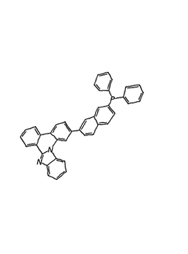 c1ccc(P(c2ccccc2)c2ccc3ccc(-c4ccc5c6ccccc6c6nc7ccccc7n6c5c4)cc3c2)cc1